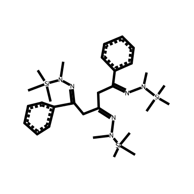 CN(N=C(CC(=NN(C)[Si](C)(C)C)c1ccccc1)CC(=NN(C)[Si](C)(C)C)c1ccccc1)[Si](C)(C)C